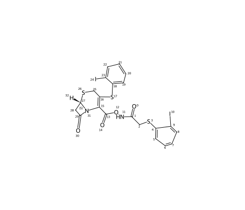 O=C(CSc1ccccc1I)NOC(=O)C1=C(Sc2ccccc2I)CS[C@H]2CC(=O)N12